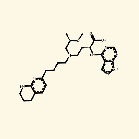 CO[C@H](C)CN(CCCCc1ccc2c(n1)NCCC2)CC[C@H](Nc1ncnc2[nH]ncc12)C(=O)O